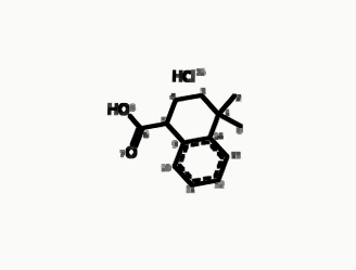 CC1(C)CCC(C(=O)O)c2ccccc21.Cl